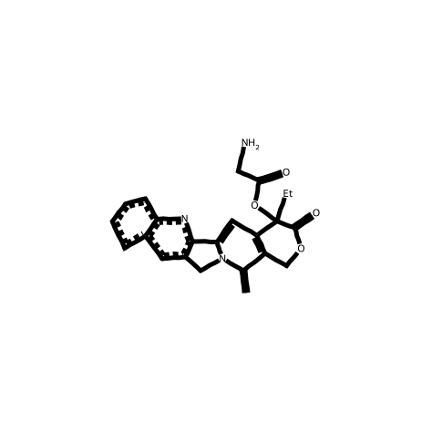 C=C1C2=C(C=C3c4nc5ccccc5cc4CN13)C(CC)(OC(=O)CN)C(=O)OC2